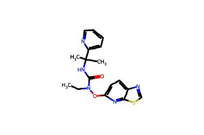 CCN(Oc1ccc2ncsc2n1)C(=O)NC(C)(C)c1ccccn1